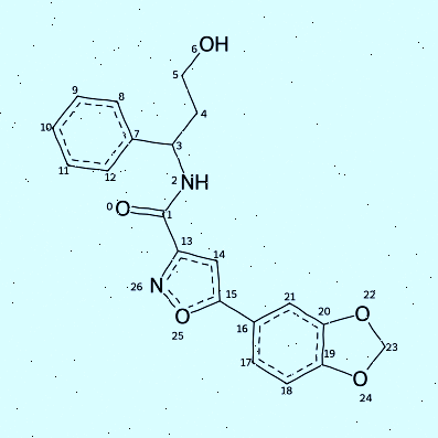 O=C(NC(CCO)c1ccccc1)c1cc(-c2ccc3c(c2)OCO3)on1